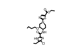 CCCCO[C@H]1CN(c2ncc(C(=O)OCC)s2)CC[C@H]1NC(=O)c1nc(Cl)c(CC)[nH]1